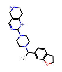 CC(c1ccc2c(c1)OCC2)N1CCN(C2N=CC3=C(CCNC3)N2)CC1